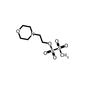 CS(=O)(=O)S(=O)(=O)OCCN1CCOCC1